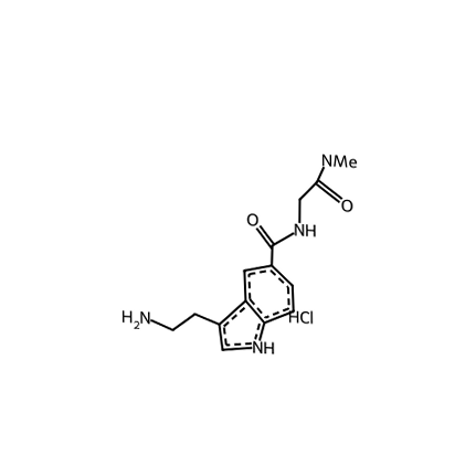 CNC(=O)CNC(=O)c1ccc2[nH]cc(CCN)c2c1.Cl